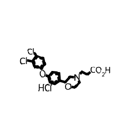 Cl.O=C(O)CCN1CCOC(c2ccc(Oc3ccc(Cl)c(Cl)c3)cc2)C1